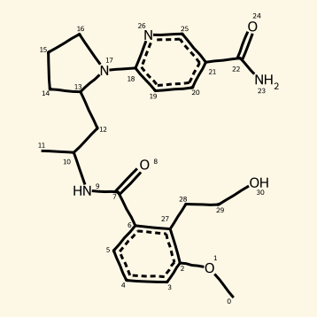 COc1cccc(C(=O)NC(C)CC2CCCN2c2ccc(C(N)=O)cn2)c1CCO